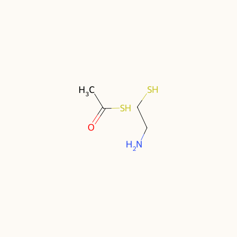 CC(=O)S.NCCS